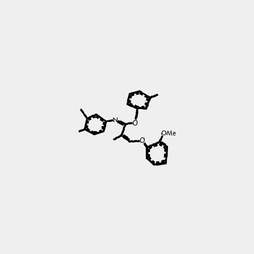 COc1ccccc1OC=C(C)C(=Nc1ccc(C)c(C)c1)Oc1cccc(C)c1